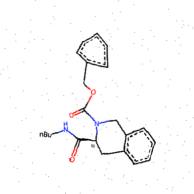 CCCCNC(=O)[C@@H]1Cc2ccccc2CN1C(=O)OCc1ccccc1